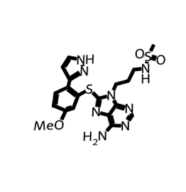 COc1ccc(-c2cc[nH]n2)c(Sc2nc3c(N)ncnc3n2CCCNS(C)(=O)=O)c1